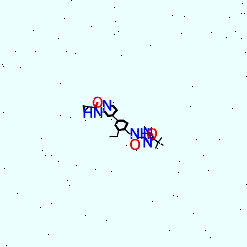 CCc1cc(-c2ccnc(NC(=O)C3CC3)c2)ccc1CNC(=O)c1noc(C(C)(C)C)n1